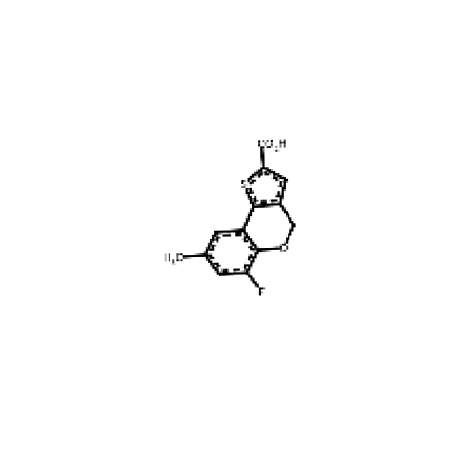 Cc1cc(F)c2c(c1)-c1sc(C(=O)O)cc1CO2